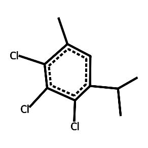 Cc1cc(C(C)C)c(Cl)c(Cl)c1Cl